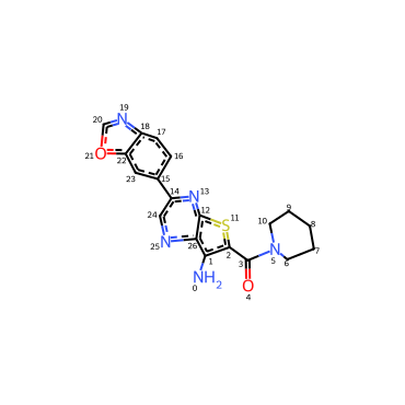 Nc1c(C(=O)N2CCCCC2)sc2nc(-c3ccc4ncoc4c3)cnc12